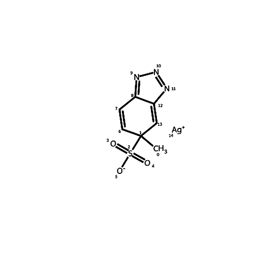 CC1(S(=O)(=O)[O-])C=CC2=NN=NC2=C1.[Ag+]